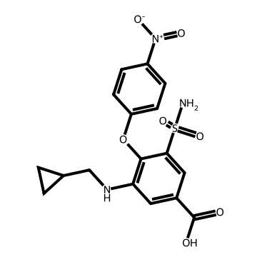 NS(=O)(=O)c1cc(C(=O)O)cc(NCC2CC2)c1Oc1ccc([N+](=O)[O-])cc1